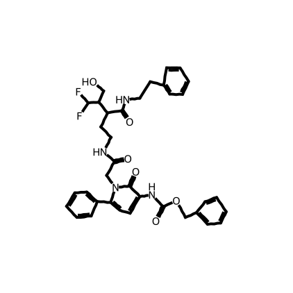 O=C(Cn1c(-c2ccccc2)ccc(NC(=O)OCc2ccccc2)c1=O)NCCC(C(=O)NCCc1ccccc1)C(CO)C(F)F